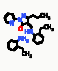 CCCC1=NN(c2ccccn2)C(=O)C1=CNc1ccccc1CC.CCc1ccccc1N